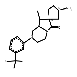 CC1C2CN(c3cccc(C(F)(F)F)c3)CCN2C(=O)[C@]12CC[C@@H](N)C2